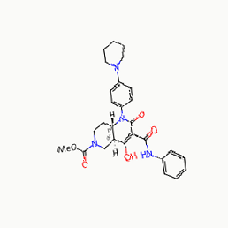 COC(=O)N1CC[C@H]2[C@H](C1)C(O)=C(C(=O)Nc1ccccc1)C(=O)N2c1ccc(N2CCCCC2)cc1